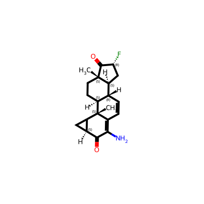 C[C@]12CC[C@H]3[C@@H](C=CC4=C(N)C(=O)[C@H]5CC5[C@@]43C)[C@@H]1C[C@@H](F)C2=O